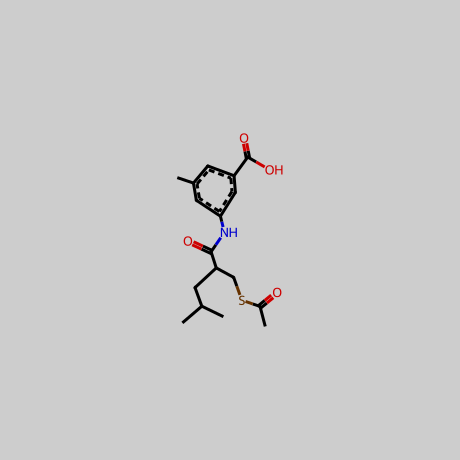 CC(=O)SCC(CC(C)C)C(=O)Nc1cc(C)cc(C(=O)O)c1